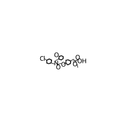 CCO[C@@H](Cc1ccc(OCC(=O)N(Cc2ccc(Cl)cc2)Cc2ccccc2OC)cc1)C(=O)O